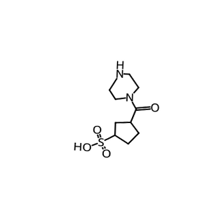 O=C(C1CCC(S(=O)(=O)O)C1)N1CCNCC1